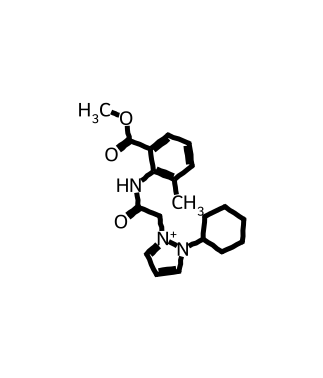 COC(=O)c1cccc(C)c1NC(=O)C[n+]1cccn1C1CCCCC1